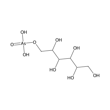 O=[As](O)(O)OCC(O)C(O)C(O)C(O)CO